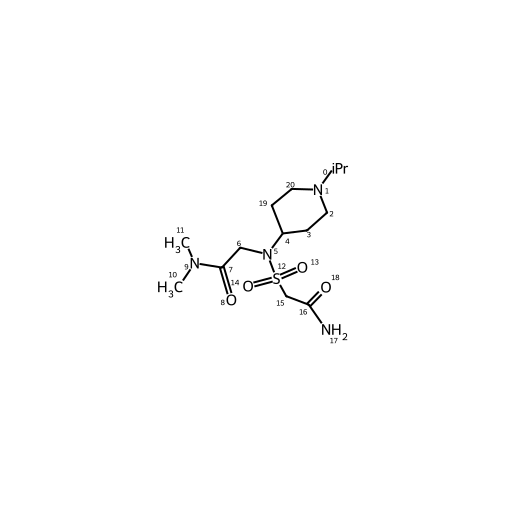 CC(C)N1CCC(N(CC(=O)N(C)C)S(=O)(=O)CC(N)=O)CC1